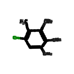 COc1cc(Cl)c(C)c(OC)c1OC